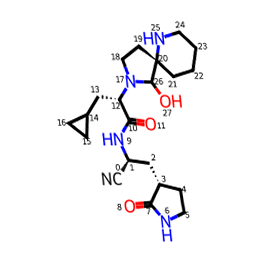 N#C[C@H](C[C@@H]1CCNC1=O)NC(=O)[C@H](CC1CC1)N1CC[C@@]2(CCCCN2)C1O